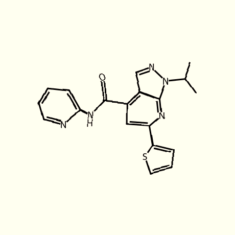 CC(C)n1ncc2c(C(=O)Nc3ccccn3)cc(-c3cccs3)nc21